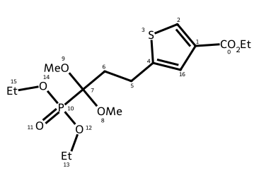 CCOC(=O)c1csc(CCC(OC)(OC)P(=O)(OCC)OCC)c1